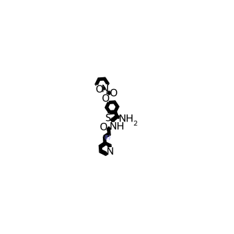 Nc1c(NC(=O)/C=C/c2cccnc2)sc2c1CCC(OC(=O)N1CCCCO1)C2